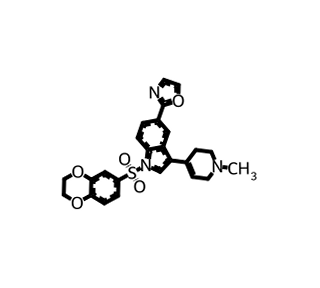 CN1CC=C(c2cn(S(=O)(=O)c3ccc4c(c3)OCCO4)c3ccc(-c4ncco4)cc23)CC1